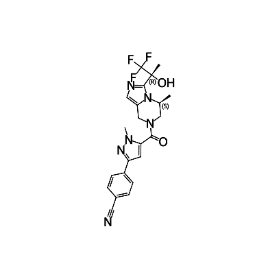 C[C@H]1CN(C(=O)c2cc(-c3ccc(C#N)cc3)nn2C)Cc2cnc([C@@](C)(O)C(F)(F)F)n21